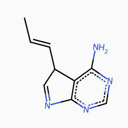 CC=CC1C=Nc2ncnc(N)c21